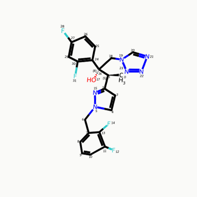 C[C@@H](c1ccn(Cc2cccc(F)c2F)n1)[C@](O)(Cn1cnnn1)c1ccc(F)cc1F